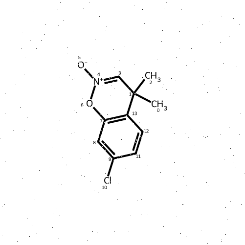 CC1(C)C=[N+]([O-])Oc2cc(Cl)ccc21